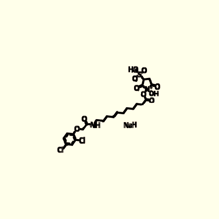 O=C(COc1ccc(Cl)cc1Cl)NCCCCCCCCCCC(=O)O[N+]1(O)C(=O)CC(S(=O)(=O)O)C1=O.[NaH]